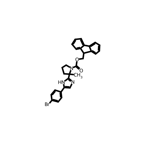 CC1(c2ncc(-c3ccc(Br)cc3)[nH]2)CCCN1C(=O)OCC1c2ccccc2-c2ccccc21